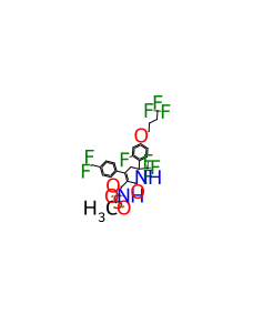 CS(=O)(=O)NC(=O)C1=C(c2ccc(C(F)F)cc2)CC(c2ccc(OCCCC(F)(F)F)cc2F)(C(F)(F)F)NC1=O